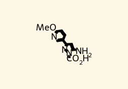 COc1ccc(-c2cc(N)n(C(=O)O)n2)cn1